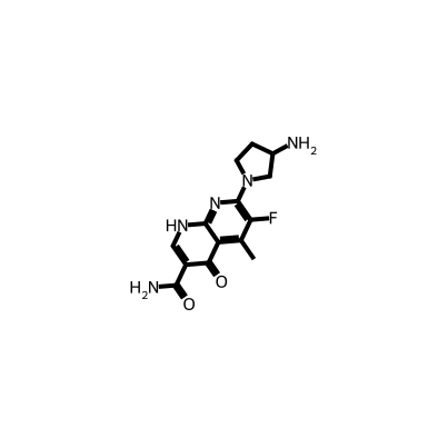 Cc1c(F)c(N2CCC(N)C2)nc2[nH]cc(C(N)=O)c(=O)c12